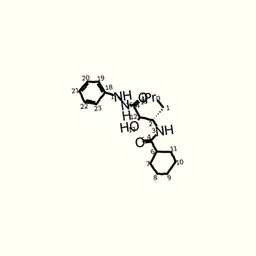 CC(C)C[C@H](NC(=O)C1CCCCC1)C(O)C(=O)NNc1ccccc1